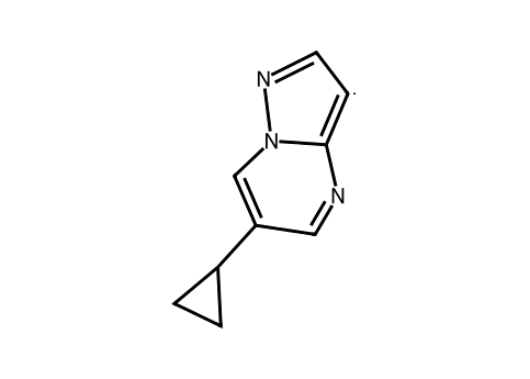 [c]1cnn2cc(C3CC3)cnc12